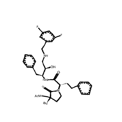 CC[C@H](C)C1(NC(C)=O)CCN([C@@H](CCc2ccccc2)C(=O)N[C@@H](Cc2ccccc2)[C@H](O)CNCc2cc(F)cc(F)c2)C1=O